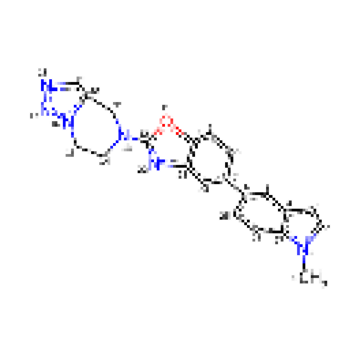 Cn1ccc2cc(-c3ccc4oc(N5CCn6nncc6C5)nc4c3)ccc21